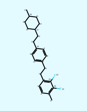 Cc1ccc(CCc2ccc(CCC3CCC(C)CC3)cc2)c(F)c1F